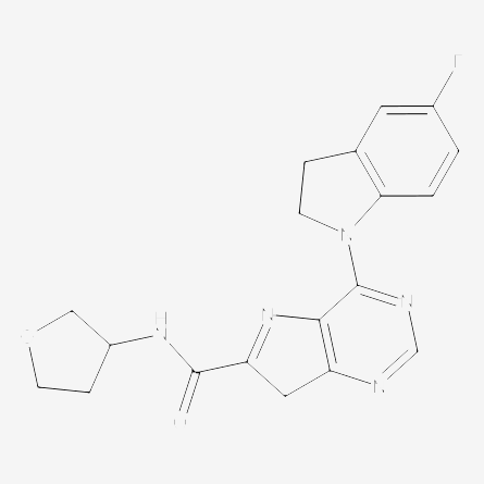 O=C(NC1CCOC1)C1=Nc2c(ncnc2N2CCc3cc(F)ccc32)C1